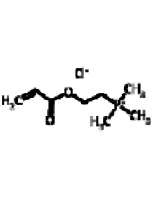 C=CC(=O)OCC[P+](C)(C)C.[Cl-]